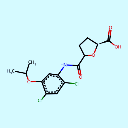 CC(C)Oc1cc(NC(=O)C2CC[C@@H](C(=O)O)O2)c(Cl)cc1Cl